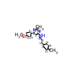 COc1ccc(-c2cc(NN=CCc3ccc(C)cc3)nc(C)n2)cc1